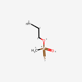 CCCCCOS(C)(=O)=S